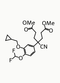 COC(=O)CCC(C#N)(CCC(=O)OC)c1ccc(OC(F)F)c(OCC2CC2)c1